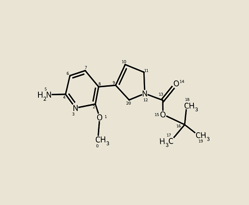 COc1nc(N)ccc1C1=CCN(C(=O)OC(C)(C)C)C1